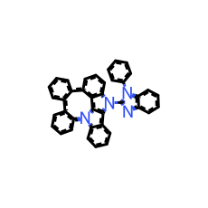 c1ccc(-n2c(-n3c4cccc5c6ccccc6c6ccccc6n6c7ccccc7c3c6c54)nc3ccccc32)cc1